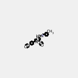 Cc1cccc(/C=N/Nc2cc(N3CCOCC3)n3nc(-c4ccc(N5CCOCC5)cc4)cc3n2)c1